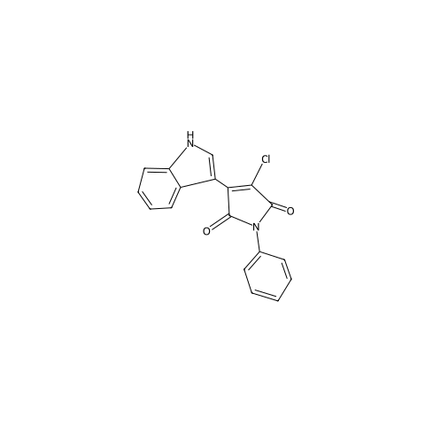 O=C1C(Cl)=C(c2c[nH]c3ccccc23)C(=O)N1c1ccccc1